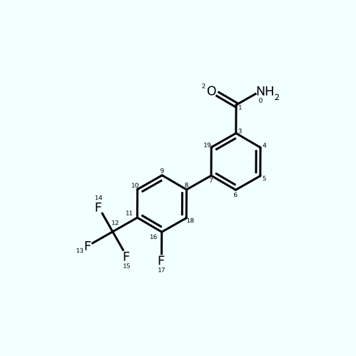 NC(=O)c1cccc(-c2ccc(C(F)(F)F)c(F)c2)c1